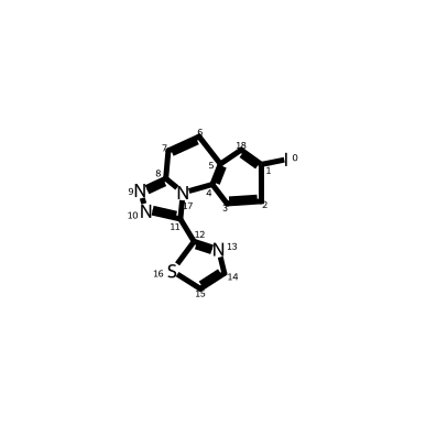 Ic1ccc2c(ccc3nnc(-c4nccs4)n32)c1